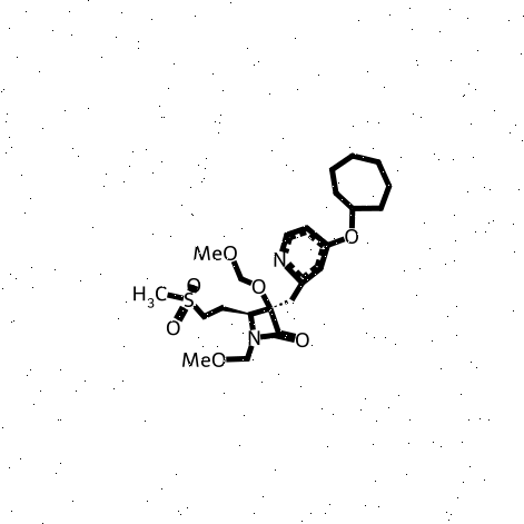 COCO[C@@]1(Cc2cc(OC3CCCCCC3)ccn2)C(=O)N(COC)[C@H]1CCS(C)(=O)=O